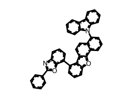 c1ccc(-c2nc3cccc(-c4cccc5oc6c7cccc(-n8c9ccccc9c9ccccc98)c7ccc6c45)c3o2)cc1